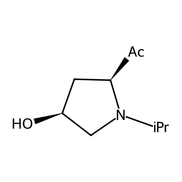 CC(=O)[C@@H]1C[C@H](O)CN1C(C)C